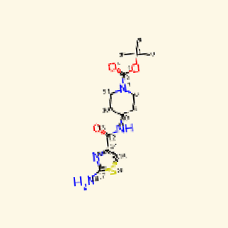 CC(C)(C)OC(=O)N1CCC(NC(=O)c2csc(N)n2)CC1